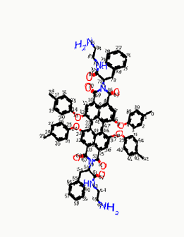 Cc1ccc(Oc2cc3c4c(cc(Oc5ccc(C)cc5)c5c6c(Oc7ccc(C)cc7)cc7c8c(cc(Oc9ccc(C)cc9)c(c2c45)c86)C(=O)N(C(Cc2ccccc2)C(=O)NCCN)C7=O)C(=O)N(C(Cc2ccccc2)C(=O)NCCN)C3=O)cc1